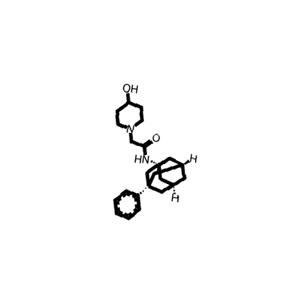 O=C(CN1CCC(O)CC1)N[C@@]12C[C@H]3C[C@@H](C1)C[C@@](c1ccccc1)(C3)C2